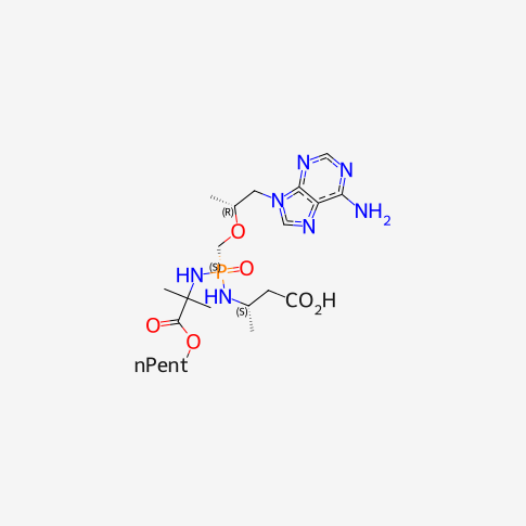 CCCCCOC(=O)C(C)(C)N[P@](=O)(CO[C@H](C)Cn1cnc2c(N)ncnc21)N[C@@H](C)CC(=O)O